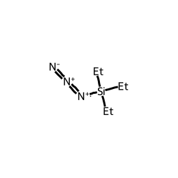 CC[Si](CC)(CC)[N+]=[N+]=[N-]